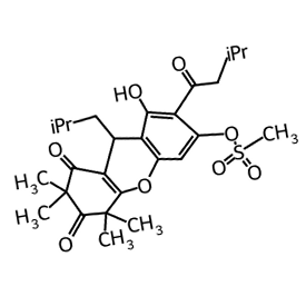 CC(C)CC(=O)c1c(OS(C)(=O)=O)cc2c(c1O)C(CC(C)C)C1=C(O2)C(C)(C)C(=O)C(C)(C)C1=O